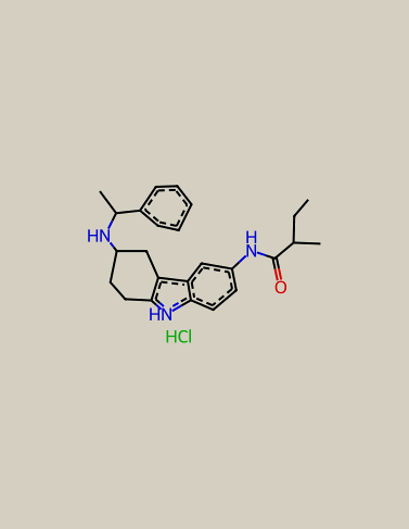 CCC(C)C(=O)Nc1ccc2[nH]c3c(c2c1)CC(NC(C)c1ccccc1)CC3.Cl